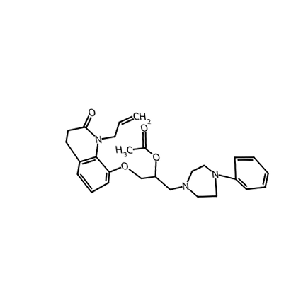 C=CCN1C(=O)CCc2cccc(OCC(CN3CCN(c4ccccc4)CC3)OC(C)=O)c21